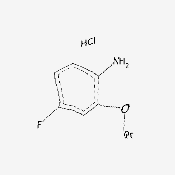 CC(C)Oc1cc(F)ccc1N.Cl